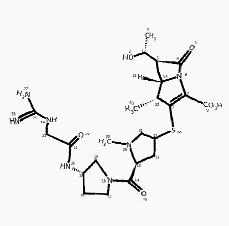 C[C@@H](O)[C@H]1C(=O)N2C(C(=O)O)=C(SC3C[C@@H](C(=O)N4CC[C@H](NC(=O)CNC(=N)N)C4)N(C)C3)[C@H](C)[C@H]12